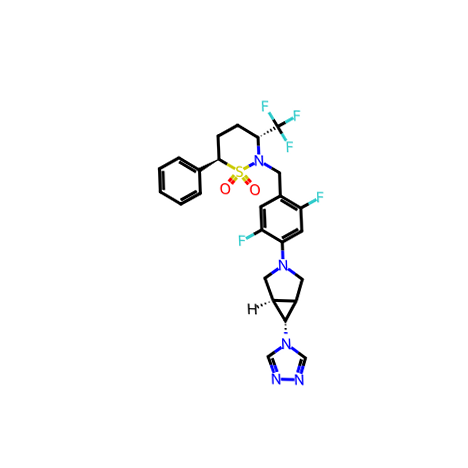 O=S1(=O)[C@@H](c2ccccc2)CC[C@H](C(F)(F)F)N1Cc1cc(F)c(N2CC3[C@H](C2)[C@H]3n2cnnc2)cc1F